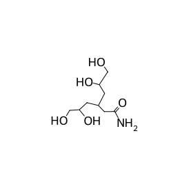 NC(=O)CC(CC(O)CO)CC(O)CO